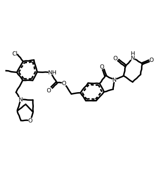 Cc1c(Cl)cc(NC(=O)OCc2ccc3c(c2)C(=O)N(C2CCC(=O)NC2=O)C3)cc1CN1CC2CC1CO2